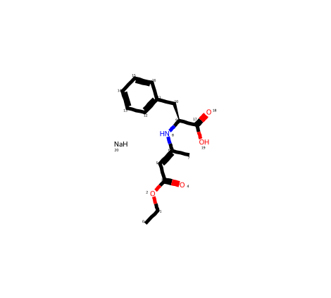 CCOC(=O)/C=C(\C)N[C@@H](Cc1ccccc1)C(=O)O.[NaH]